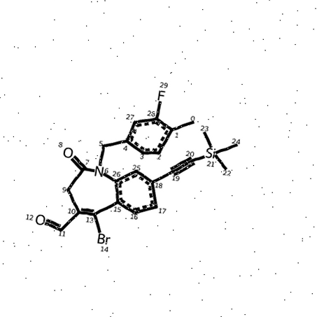 Cc1ccc(CN2C(=O)CC(C=O)=C(Br)c3ccc(C#C[Si](C)(C)C)cc32)cc1F